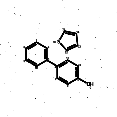 Oc1ccc(-c2ccccc2)cc1.c1ccsc1